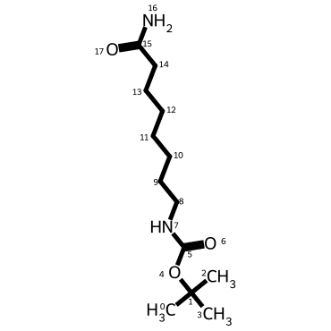 CC(C)(C)OC(=O)NCCCCCCCC(N)=O